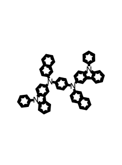 c1ccc(-n2c3ccccc3c3cc(N(c4ccc(N(c5ccc6ccccc6c5)c5ccc6c(c5)c5ccccc5n6-c5ccccc5)cc4)c4ccc5ccccc5c4)ccc32)cc1